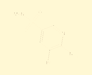 CNS(=O)(=O)c1cnc(N)c(Br)c1